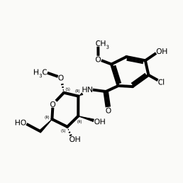 COc1cc(O)c(Cl)cc1C(=O)N[C@H]1[C@@H](OC)O[C@H](CO)[C@@H](O)[C@@H]1O